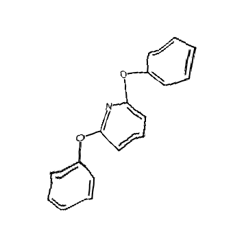 c1ccc(Oc2cccc(Oc3ccccc3)n2)cc1